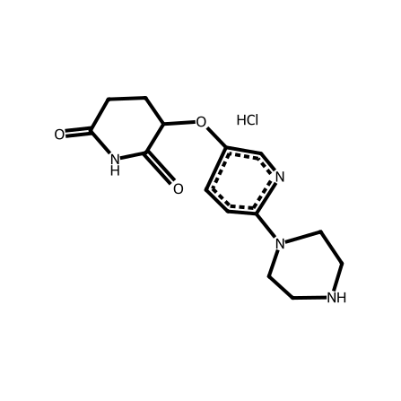 Cl.O=C1CCC(Oc2ccc(N3CCNCC3)nc2)C(=O)N1